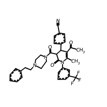 CC(=O)C1=C(C)N(c2cccc(C(F)(F)F)c2)C(=O)C(C(=O)N2CCN(CCc3ccccc3)CC2)C1c1ccc(C#N)cc1